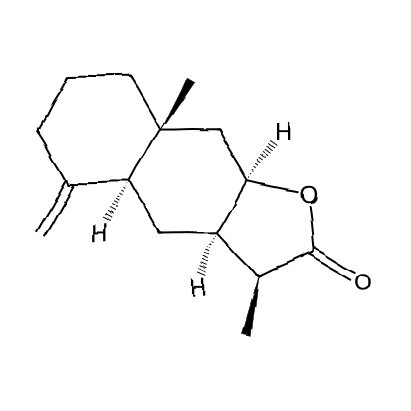 C=C1CCC[C@]2(C)C[C@H]3OC(=O)[C@@H](C)[C@H]3C[C@@H]12